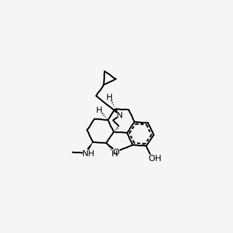 CN[C@H]1CC[C@H]2[C@H]3Cc4ccc(O)c5c4[C@@]2(CCN3CC2CC2)[C@H]1O5